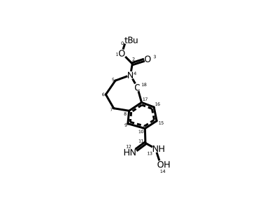 CC(C)(C)OC(=O)N1CCCc2cc(C(=N)NO)ccc2C1